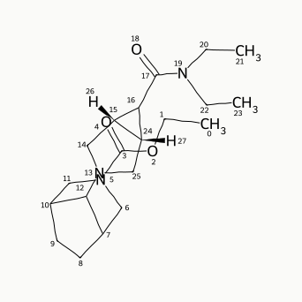 CCOC(=O)N1CC2CCC(C1)C2N1C[C@@H]2C(C(=O)N(CC)CC)[C@@H]2C1